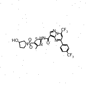 Cc1nc(NC(=O)c2cnn3c(C(F)(F)F)cc(-c4ccc(C(F)(F)F)cc4)nc23)sc1S(=O)(=O)N1CCC(O)C1